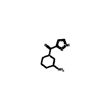 NC1CCCN(C(=O)c2cc[nH]n2)C1